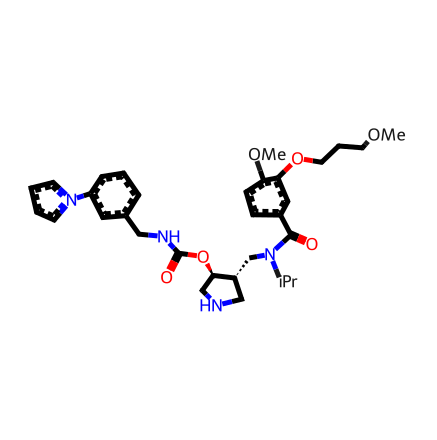 COCCCOc1cc(C(=O)N(C[C@@H]2CNC[C@H]2OC(=O)NCc2cccc(-n3cccc3)c2)C(C)C)ccc1OC